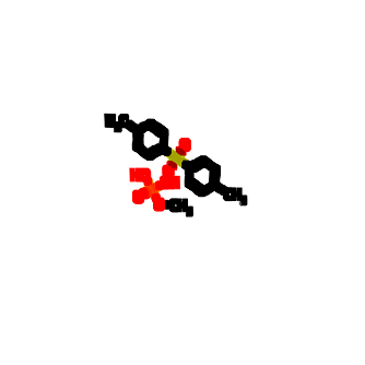 COP(=O)(O)O.Cc1ccc(S(=O)(=O)c2ccc(C)cc2)cc1